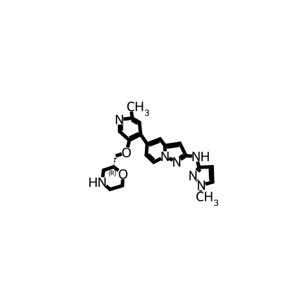 Cc1cc(-c2ccn3nc(Nc4ccn(C)n4)cc3c2)c(OC[C@H]2CNCCO2)cn1